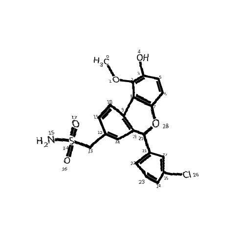 COc1c(O)ccc2c1-c1ccc(CS(N)(=O)=O)cc1C(c1cccc(Cl)c1)O2